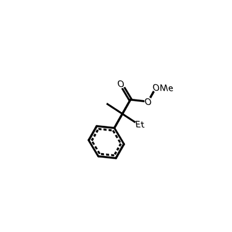 CCC(C)(C(=O)OOC)c1ccccc1